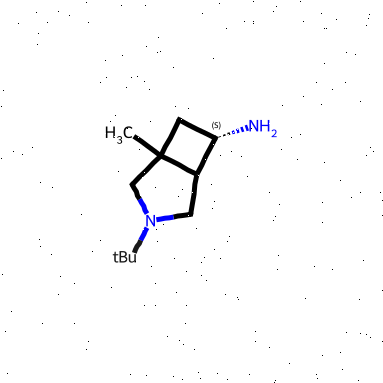 CC12C[C@H](N)C1CN(C(C)(C)C)C2